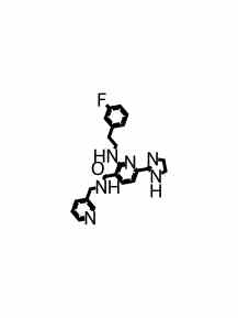 O=C(NCc1cccnc1)c1ccc(C2=NCCN2)nc1NCCc1cccc(F)c1